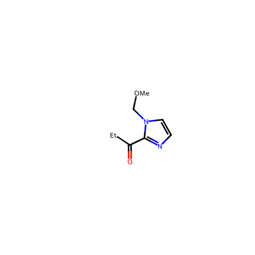 CCC(=O)c1nccn1COC